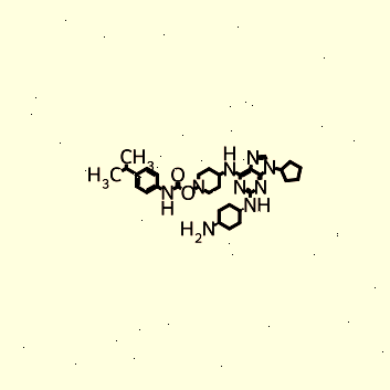 CC(C)c1ccc(NC(=O)ON2CCC(Nc3nc(N[C@H]4CC[C@H](N)CC4)nc4c3ncn4C3CCCC3)CC2)cc1